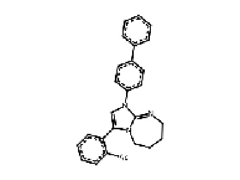 CC(=O)c1ccccc1C1=CN(c2ccc(-c3ccccc3)cc2)C2=NCCCCN12